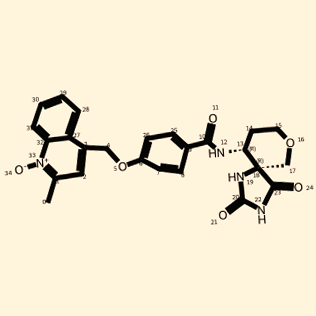 Cc1cc(COc2ccc(C(=O)N[C@@H]3CCOC[C@]34NC(=O)NC4=O)cc2)c2ccccc2[n+]1[O-]